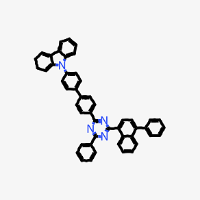 C1=c2c(n(-c3ccc(-c4ccc(-c5nc(-c6ccccc6)nc(-c6ccc(-c7ccccc7)c7ccccc67)n5)cc4)cc3)c3ccccc23)=CCC1